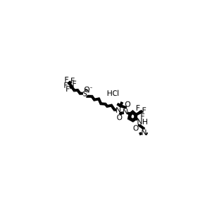 CN(C)CC(=O)Nc1ccc(N2C(=O)N(CCCCCCCCC[S+]([O-])CCCC(F)(F)C(F)(F)F)C(C)(C)C2=O)cc1C(F)(F)F.Cl